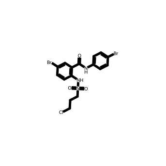 O=C(Nc1ccc(Br)cc1)c1cc(Br)ccc1NS(=O)(=O)CCCCl